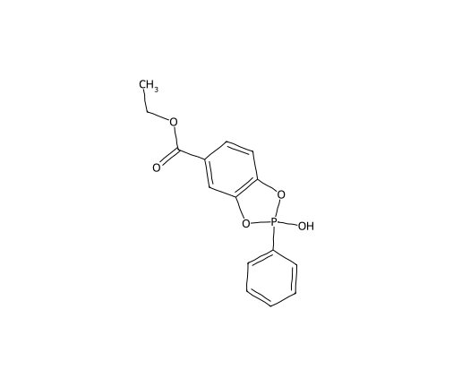 CCOC(=O)c1ccc2c(c1)O[P](O)(c1ccccc1)O2